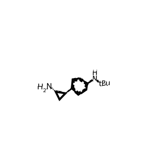 CC(C)(C)Nc1ccc([C@H]2C[C@@H]2N)cc1